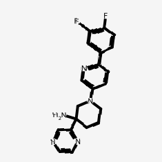 NC1(c2cnccn2)CCCN(c2ccc(-c3ccc(F)c(F)c3)nc2)C1